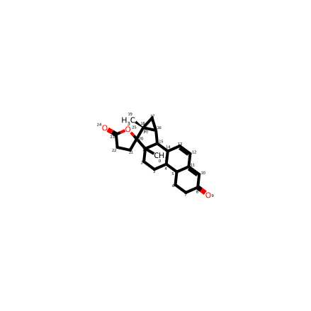 CC12CCC3C4CCC(=O)C=C4C=CC3C1C1C[C@@]1(C)C21CCC(=O)O1